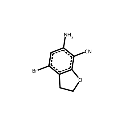 N#Cc1c(N)cc(Br)c2c1OCC2